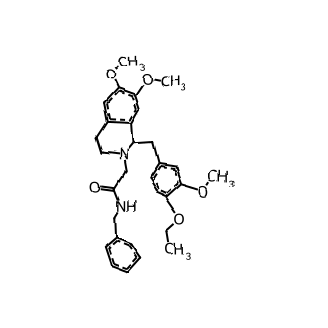 CCOc1ccc(CC2c3cc(OC)c(OC)cc3CCN2CC(=O)NCc2ccccc2)cc1OC